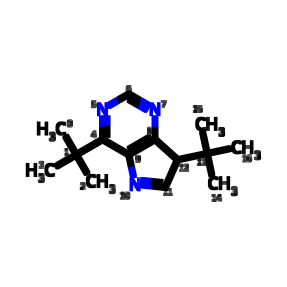 CC(C)(C)c1ncnc2c1N=CC2C(C)(C)C